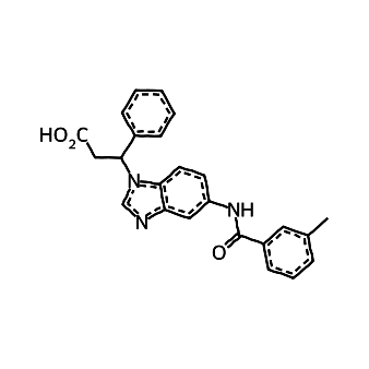 Cc1cccc(C(=O)Nc2ccc3c(c2)ncn3C(CC(=O)O)c2ccccc2)c1